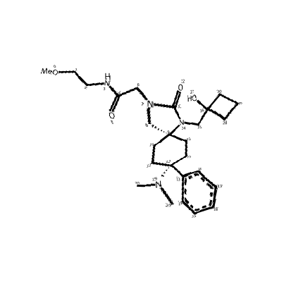 COCCNC(=O)CN1C[C@]2(CC[C@@](c3ccccc3)(N(C)C)CC2)N(CC2(O)CCC2)C1=O